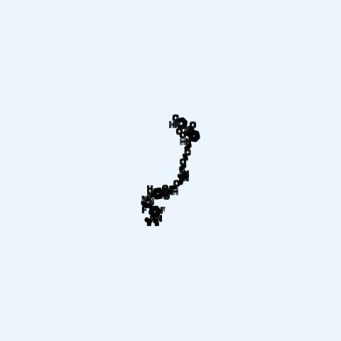 Cc1nc2c(F)cc(-c3nc(Nc4ccc(S(=O)(=O)NCCOCc5cn(CCOCCOCCNc6cccc7c6C(=O)N(C6CCC(=O)NC6=O)C7=O)nn5)cc4)ncc3F)cc2n1C(C)C